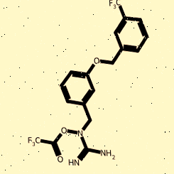 N=C(N)N(Cc1cccc(OCc2cccc(C(F)(F)F)c2)c1)OC(=O)C(F)(F)F